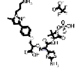 Cc1cc(-c2ccc(OCC(O/N=C(\C(=O)N[C@@H]3C(=O)N(OS(=O)(=O)O)C3(C)C)c3csc(N)n3)C(=O)O)cc2)[n+](C)n1CCCN.O=C([O-])C(F)(F)F